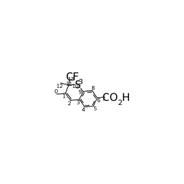 CC1=Cc2ccc(C(=O)O)cc2SC1(C)C(F)(F)F